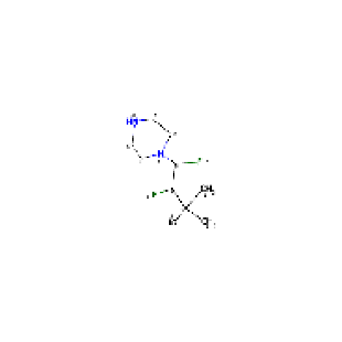 CCC(C)(C)C(F)C(F)N1CCNCC1